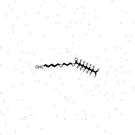 O=C/C=C/C=C/COCCCOC(=O)C(F)(F)C(F)(F)C(F)(F)C(F)(F)C(F)(F)C(F)F